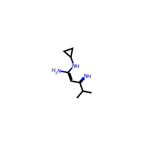 CC(C)C(=N)/C=C(/N)NC1CC1